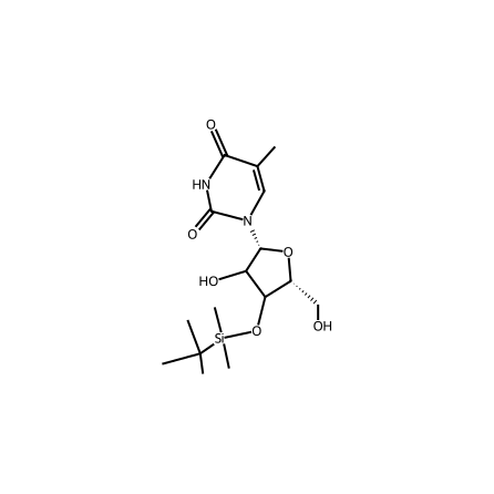 Cc1cn([C@@H]2O[C@H](CO)C(O[Si](C)(C)C(C)(C)C)C2O)c(=O)[nH]c1=O